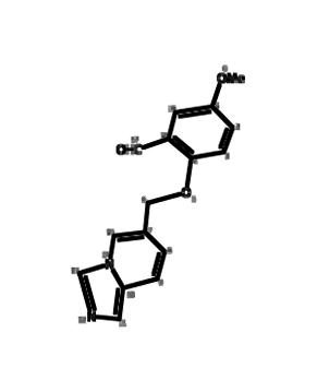 COc1ccc(OCc2ccc3cncn3c2)c(C=O)c1